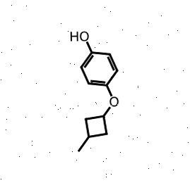 CC1CC(Oc2ccc(O)cc2)C1